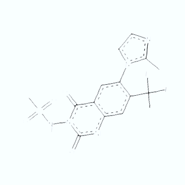 Cc1nccn1-c1cc2c(=O)n(NS(C)(=O)=O)c(=O)[nH]c2cc1C(F)(F)F